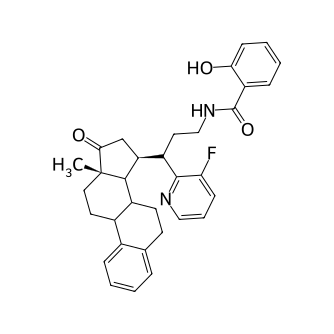 C[C@]12CCC3c4ccccc4CCC3C1[C@H](C(CCNC(=O)c1ccccc1O)c1ncccc1F)CC2=O